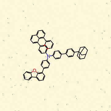 c1ccc(-c2cccc3cccc(-c4ccc(N(c5ccc(-c6ccc(C78CC9CC(CC(C9)C7)C8)cc6)cc5)c5ccc(-c6cccc7c6oc6ccccc67)cc5)cc4)c23)cc1